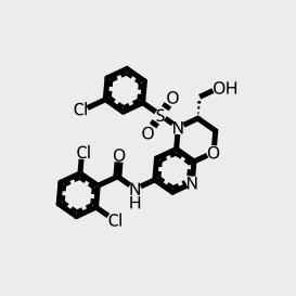 O=C(Nc1cnc2c(c1)N(S(=O)(=O)c1cccc(Cl)c1)[C@H](CO)CO2)c1c(Cl)cccc1Cl